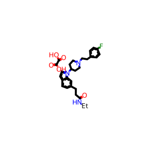 CCNC(=O)CCc1ccc2ccn(C3CCN(CCc4ccc(F)cc4)CC3)c2c1.O=C(O)C(=O)O